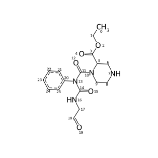 CCOC(=O)C1CNCCN1C(=O)N(C(=O)NC[C]=O)c1ccccc1